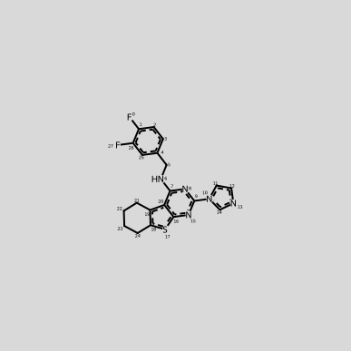 Fc1ccc(CNc2nc(-n3ccnc3)nc3sc4c(c23)CCCC4)cc1F